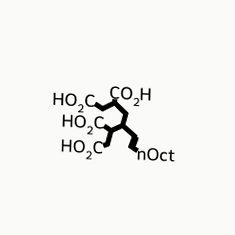 CCCCCCCCC=CC(CC(CC(=O)O)C(=O)O)C(CC(=O)O)C(=O)O